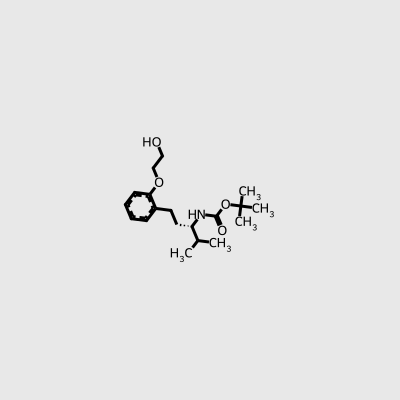 CC(C)[C@H](CCc1ccccc1OCCO)NC(=O)OC(C)(C)C